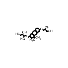 CC1(C)C=C(OC[C@@H](O)[C@H](O)CO)CC2=C1Cc1cc(OC[C@H](O)CO)ccc1C2